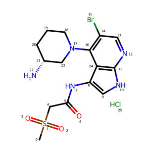 CS(=O)(=O)CC(=O)Nc1c[nH]c2ncc(Br)c(N3CCC[C@@H](N)C3)c12.Cl